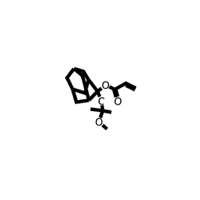 C=CC(=O)OC1(CC(C)(C)OC)C2CC3CC(C2)CC1C3